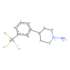 NN1CCC(c2cccc(C(F)(F)F)c2)CC1